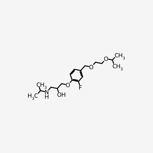 CC(C)NCC(O)COc1ccc(COCCOC(C)C)cc1F